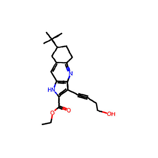 CCOC(=O)c1[nH]c2cc3c(nc2c1C#CCCO)CCC(C(C)(C)C)C3